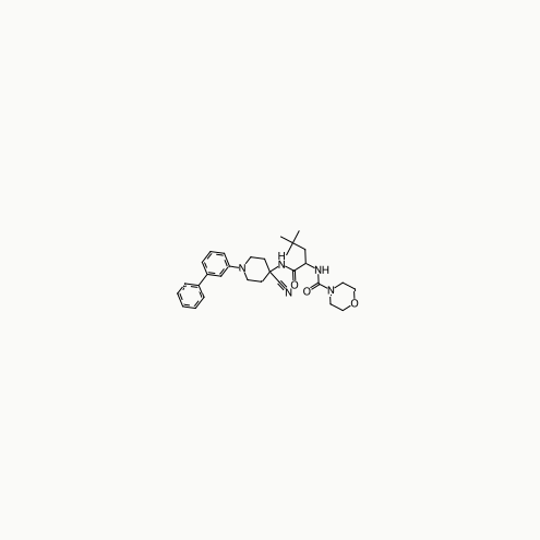 CC(C)(C)CC(NC(=O)N1CCOCC1)C(=O)NC1(C#N)CCN(c2cccc(-c3ccccc3)c2)CC1